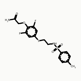 Cc1ccc(S(=O)(=O)NCCSc2cc(F)c(OCC(N)=O)c(F)c2)cc1